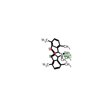 CCC1=Cc2c(C)ccc(C)c2[CH]1[Zr]([CH3])([CH3])(=[SiH2])[CH]1C(CC)=Cc2c(C)ccc(C)c21.Cl.Cl